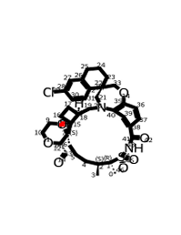 C[C@@H]1[C@@H](C)CCC[C@]2(OCCO[C@H]2C=O)[C@@H]2CC[C@H]2CN2C[C@@]3(CCCc4cc(Cl)ccc43)COc3ccc(cc32)C(=O)NS1(=O)=O